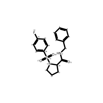 O=C(NCc1ccccc1)C1CCCN1S(=O)(=O)c1ccc(F)cc1